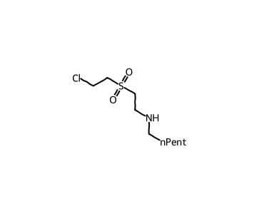 CCCCCCNCCS(=O)(=O)CCCl